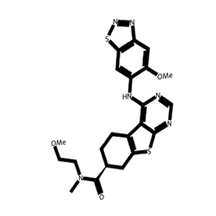 COCCN(C)C(=O)[C@H]1CCc2c(sc3ncnc(Nc4cc5snnc5cc4OC)c23)C1